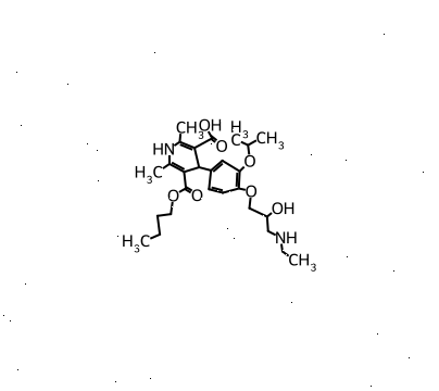 CCCCOC(=O)C1=C(C)NC(C)=C(C(=O)O)C1c1ccc(OCC(O)CNCC)c(OC(C)C)c1